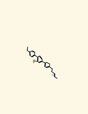 C/C=C/CCC1=CC=C(c2ccc(-c3ccc(CC)cc3)c(F)c2)CC1